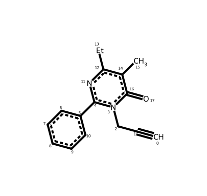 C#CCn1c(-c2ccccc2)nc(CC)c(C)c1=O